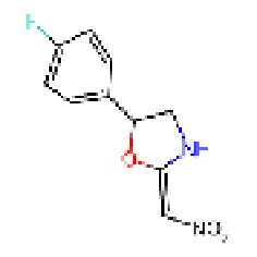 O=[N+]([O-])/C=C1\NCC(c2ccc(F)cc2)O1